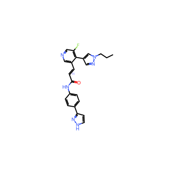 CCCn1cc(-c2c(F)cncc2/C=C/C(=O)Nc2ccc(-c3cc[nH]n3)cc2)cn1